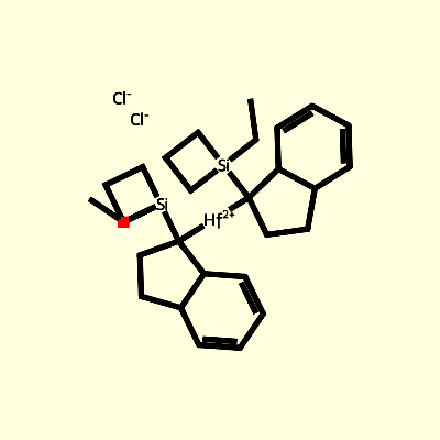 CC[Si]1([C]2([Hf+2][C]3([Si]4(CC)CCC4)CCC4C=CC=CC43)CCC3C=CC=CC32)CCC1.[Cl-].[Cl-]